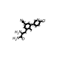 Cc1c(/C=C(\N)C(N)=O)cc(C#N)cc1-c1ccc(Cl)nc1